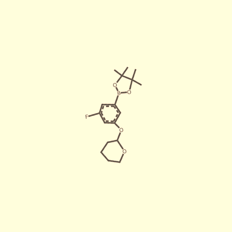 CC1(C)OB(c2cc(F)cc(OC3CCCCO3)c2)OC1(C)C